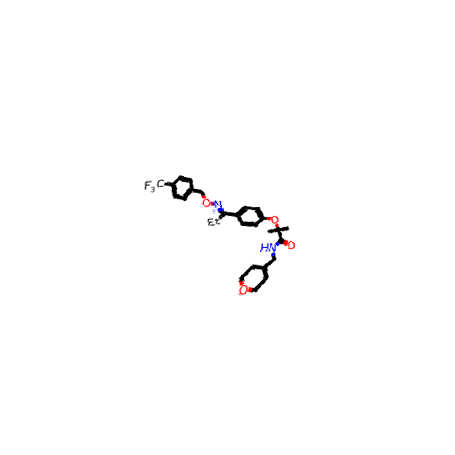 CC/C(=N\OCc1ccc(C(F)(F)F)cc1)c1ccc(OC(C)(C)C(=O)NCC2CCOCC2)cc1